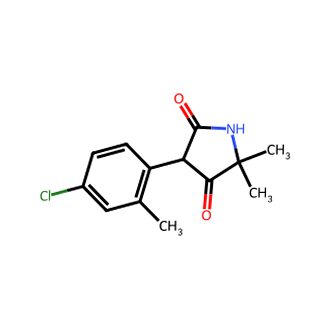 Cc1cc(Cl)ccc1C1C(=O)NC(C)(C)C1=O